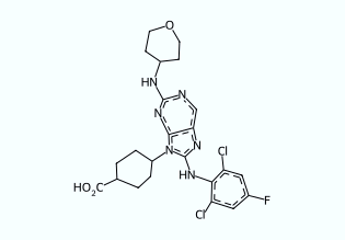 O=C(O)C1CCC(n2c(Nc3c(Cl)cc(F)cc3Cl)nc3cnc(NC4CCOCC4)nc32)CC1